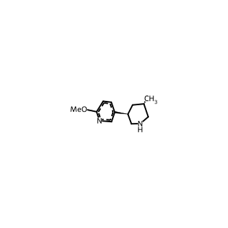 COc1ccc([C@@H]2CNC[C@@H](C)C2)cn1